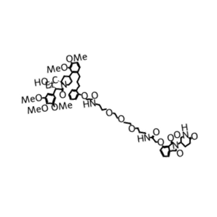 CC[C@H](C(=O)N1CCC(c2c(CCCc3ccccc3OCC(=O)NCCCOCCOCCOCCCNC(=O)COc3cccc4c3C(=O)N(C3CCC(=O)NC3=O)C4=O)ccc(OC)c2OC)C[C@H]1C(=O)O)c1cc(OC)c(OC)c(OC)c1